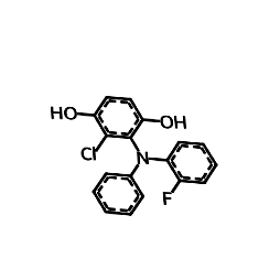 Oc1ccc(O)c(N(c2ccccc2)c2ccccc2F)c1Cl